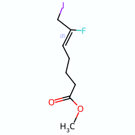 COC(=O)CCC/C=C(\F)CI